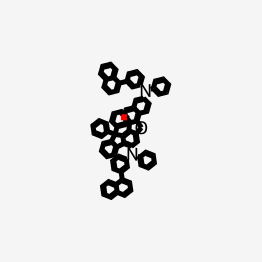 c1ccc(N(c2cccc(-c3cccc4ccccc34)c2)c2ccc3c(ccc4c3oc3cc(N(c5ccccc5)c5cccc(-c6cccc7ccccc67)c5)c5c(c34)C(c3ccccc3)(c3ccccc3)c3ccccc3-5)c2)cc1